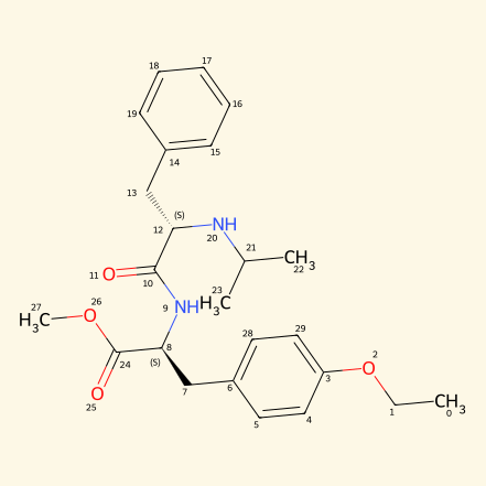 CCOc1ccc(C[C@H](NC(=O)[C@H](Cc2ccccc2)NC(C)C)C(=O)OC)cc1